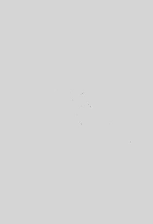 CN1Cc2cc(C(=O)OC(C)(C)C)ccc2N[C@@H]([C@@](C)(C(=O)O)C2=c3ccc4c(c3CCC2)CC=c2ccccc2=4)C1=O